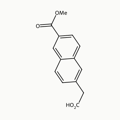 COC(=O)c1ccc2cc(CC(=O)O)ccc2c1